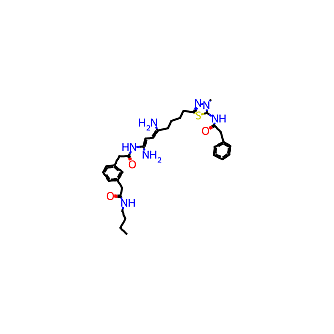 CCCCNC(=O)Cc1cccc(CC(=O)N/C(N)=C/C=C(\N)CCCCC2=NN(C)C(NC(=O)Cc3ccccc3)S2)c1